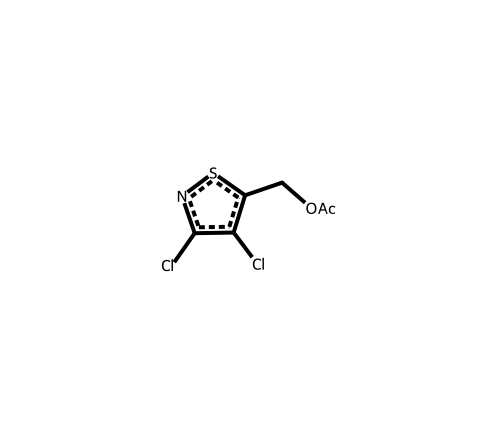 CC(=O)OCc1snc(Cl)c1Cl